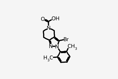 Cc1cccc(C)c1-n1nc2c(c1Br)CN(C(=O)O)CC2